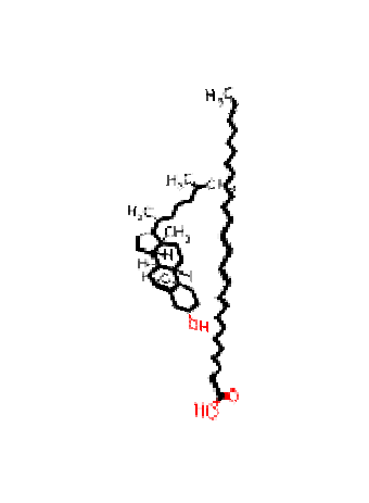 CC(C)CCC[C@@H](C)[C@H]1CC[C@H]2[C@@H]3CC=C4C[C@@H](O)CC[C@]4(C)[C@H]3CC[C@]12C.CCCCCCCCCCCCCCCCCCCCCCCCCC(=O)O